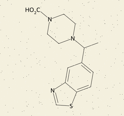 CC(c1ccc2scnc2c1)N1CCN(C(=O)O)CC1